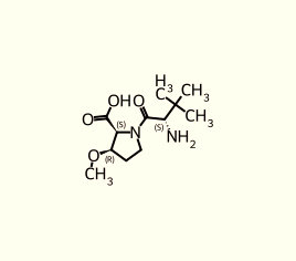 CO[C@@H]1CCN(C(=O)[C@@H](N)C(C)(C)C)[C@@H]1C(=O)O